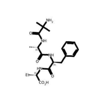 CC[C@H](NC(=O)[C@H](Cc1ccccc1)NC(=O)[C@H](C)NC(=O)C(C)(C)N)C(=O)O